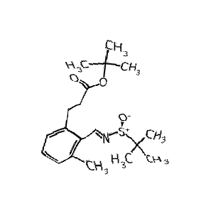 Cc1cccc(CCC(=O)OC(C)(C)C)c1C=N[S@@+]([O-])C(C)(C)C